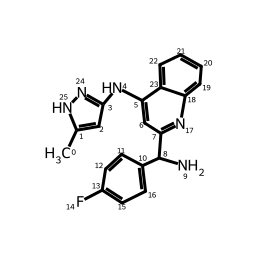 Cc1cc(Nc2cc(C(N)c3ccc(F)cc3)nc3ccccc23)n[nH]1